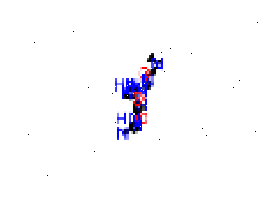 CN(C/C=C/C(=O)N1CCC(Nc2n[nH]c3nccc(Oc4ccc(C(=O)Nc5cc(C#N)ccn5)cc4)c23)C1)C1CC1